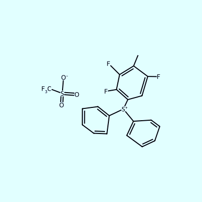 Cc1c(F)cc([S+](c2ccccc2)c2ccccc2)c(F)c1F.O=S(=O)([O-])C(F)(F)F